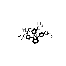 Cc1ccc(-c2c3ccccc3c(-c3ccc(C)cc3)n2-c2cc(C)cc(C)c2)cc1